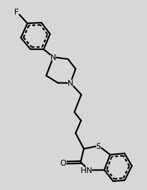 O=C1Nc2ccccc2SC1CCCCN1CCN(c2ccc(F)cc2)CC1